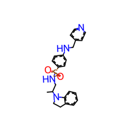 CC(CNS(=O)(=O)c1ccc(NCc2ccncc2)cc1)N1CCc2ccccc21